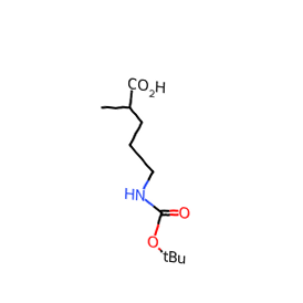 CC(CCCNC(=O)OC(C)(C)C)C(=O)O